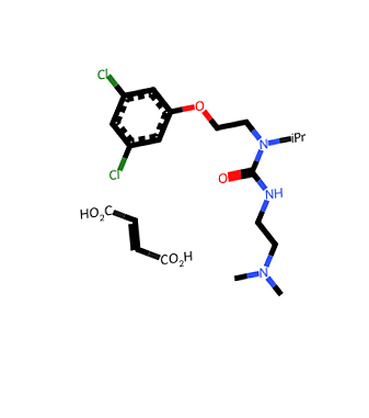 CC(C)N(CCOc1cc(Cl)cc(Cl)c1)C(=O)NCCN(C)C.O=C(O)C=CC(=O)O